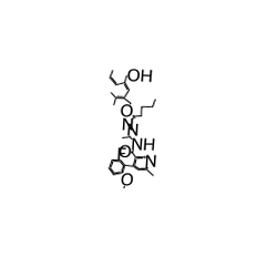 C/C=C\C(=C/C(CO/C(CCCC)=N/N=C(\C)NC(=O)c1cnc(C)cc1-c1c(F)cccc1OC)=C(C)C)CO